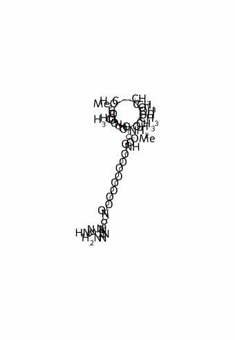 CO[C@H]1C[C@@H]2CC[C@@H](C)[C@@](O)(O2)C(=O)C(=O)N2CCCC[C@H]2C(=O)O[C@H]([C@H](N)C[C@@H]2CC[C@@H](OC(=O)NCCOCCOCCOCCOCCOCCOCCOCCOCCC(=O)N3CCc4cc(Cn5nc(-c6cnc7[nH]ccc7c6)c6c(N)ncnc65)ccc4C3)[C@H](OC)C2)C[C@@H](O)[C@H](C)/C=C(\C)[C@@H](O)[C@@H](O)C(=O)[C@H](C)C[C@H](C)/C=C/C=C/C=C/1C